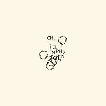 CCCCN([PH](C)(c1ccccc1)c1ccccc1)[PH]1(Cl)[C@H](c2ccccc2)C=N[C@H]1c1ccccc1